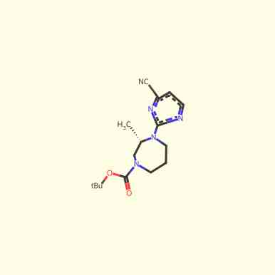 C[C@H]1CN(C(=O)OC(C)(C)C)CCCN1c1nccc(C#N)n1